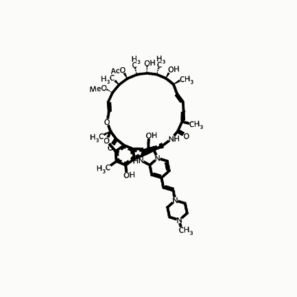 CO[C@H]1/C=C/O[C@@]2(C)Oc3c(C)c(O)c4c(O)c(c5c(c4c3C2=O)NC2C=C(/C=C/N3CCN(C)CC3)C=CN52)NC(=O)/C(C)=C\C=C\[C@H](C)[C@H](O)[C@@H](C)[C@@H](O)[C@@H](C)[C@H](OC(C)=O)[C@@H]1C